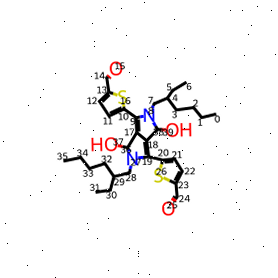 CCCCC(CC)CN1C(c2ccc(C=O)s2)=C2C(=C(c3ccc(C=O)s3)N(CC(CC)CCCC)C2O)C1O